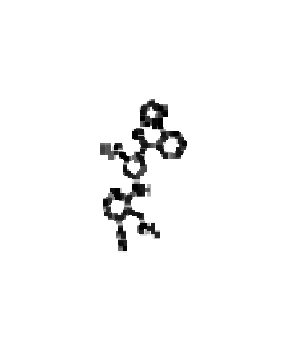 CCc1c(C#N)ccnc1N[C@@H]1C[C@@H](C)N(C(=O)c2ccccc2-n2nccn2)C1